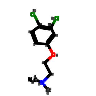 CCN(C)CCOc1ccc(Cl)c(Cl)c1